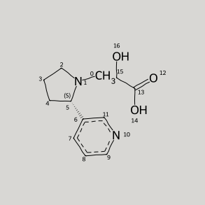 CN1CCC[C@H]1c1cccnc1.O=C(O)CO